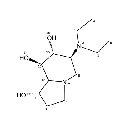 CCN(CC)[C@H]1CN2CC[C@H](O)C2[C@@H](O)[C@@H]1O